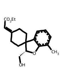 CCOC(=O)C=C1CCC2(CC1)c1cccc(C)c1O[C@@H]2CO